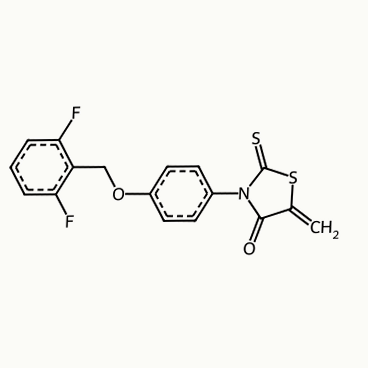 C=C1SC(=S)N(c2ccc(OCc3c(F)cccc3F)cc2)C1=O